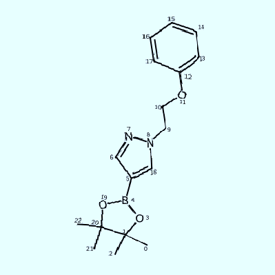 CC1(C)OB(c2cnn(CCOc3ccccc3)c2)OC1(C)C